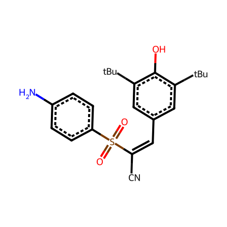 CC(C)(C)c1cc(C=C(C#N)S(=O)(=O)c2ccc(N)cc2)cc(C(C)(C)C)c1O